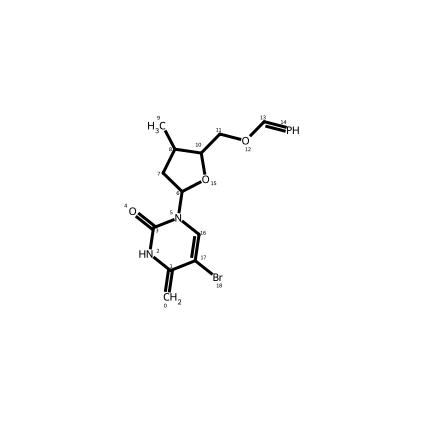 C=C1NC(=O)N(C2CC(C)C(COC=P)O2)C=C1Br